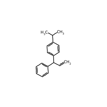 C=CC(c1ccccc1)c1ccc(C(C)C)cc1